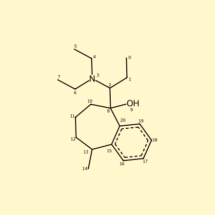 CCC(N(CC)CC)C1(O)CCCC(C)c2ccccc21